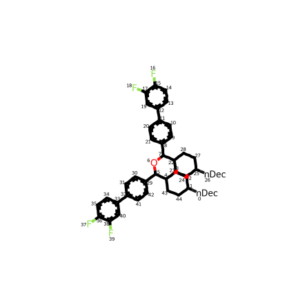 CCCCCCCCCCC1CCC(C(OC(c2ccc(-c3ccc(F)c(F)c3)cc2)C2CCC(CCCCCCCCCC)CC2)c2ccc(-c3ccc(F)c(F)c3)cc2)CC1